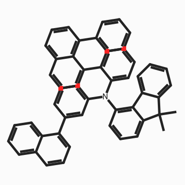 CC1(C)c2ccccc2-c2c(N(c3cccc(-c4cccc5ccccc45)c3)c3ccccc3-c3cccc4cccc(-c5ccccc5)c34)cccc21